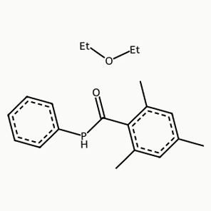 CCOCC.Cc1cc(C)c(C(=O)Pc2ccccc2)c(C)c1